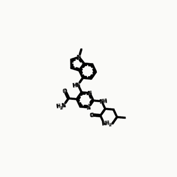 CC(C)CC(Nc1ncc(C(N)=O)c(Nc2cccc3c2ccn3C)n1)C(N)=O